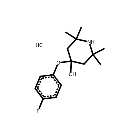 CC1(C)CC(O)(Oc2ccc(F)cc2)CC(C)(C)N1.Cl